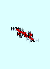 Cc1c(COc2ccc(CNCC(O)CC(=O)O)c(-c3cncc(C#N)c3)c2)cccc1-c1cccc(COc2ccc(CNCC(O)CC(=O)O)c(-c3cncc(C#N)c3)c2)c1C